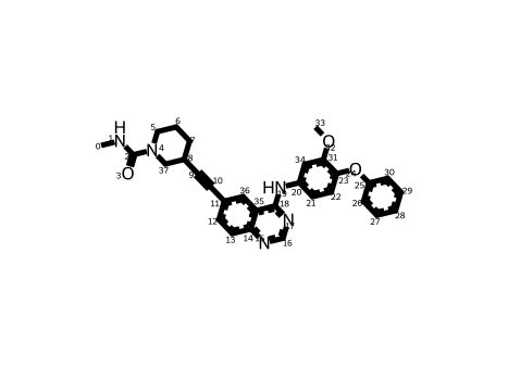 CNC(=O)N1CCCC(C#Cc2ccc3ncnc(Nc4ccc(Oc5ccccc5)c(OC)c4)c3c2)C1